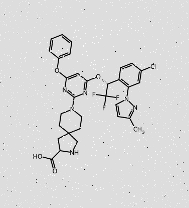 Cc1ccn(-c2cc(Cl)ccc2[C@@H](Oc2cc(Oc3ccccc3)nc(N3CCC4(CC3)CNC(C(=O)O)C4)n2)C(F)(F)F)n1